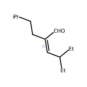 CCC(/C=C(\C=O)CCC(C)C)CC